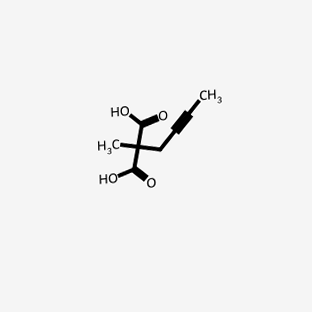 CC#CCC(C)(C(=O)O)C(=O)O